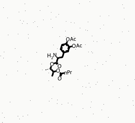 CCCC(=O)OC(C)[C@H](C)OC(=O)[C@@H](N)Cc1ccc(OC(C)=O)c(OC(C)=O)c1